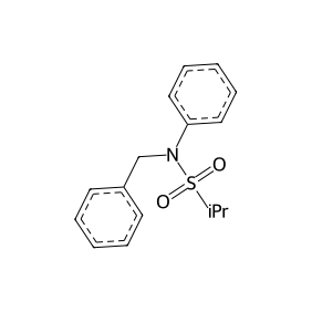 CC(C)S(=O)(=O)N(Cc1ccccc1)c1ccccc1